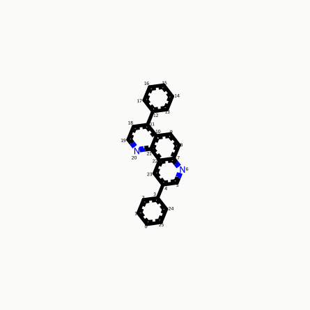 c1ccc(-c2cnc3ccc4c(-c5ccccc5)ccnc4c3c2)cc1